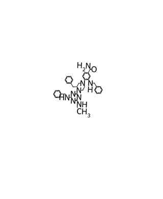 CCNc1nc(NCc2ccccc2)nc(N2CCN(c3ccc(C(N)=O)cc3NCc3ccccc3)CC2Cc2ccccc2)n1